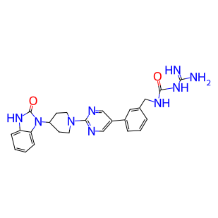 N=C(N)NC(=O)NCc1cccc(-c2cnc(N3CCC(n4c(=O)[nH]c5ccccc54)CC3)nc2)c1